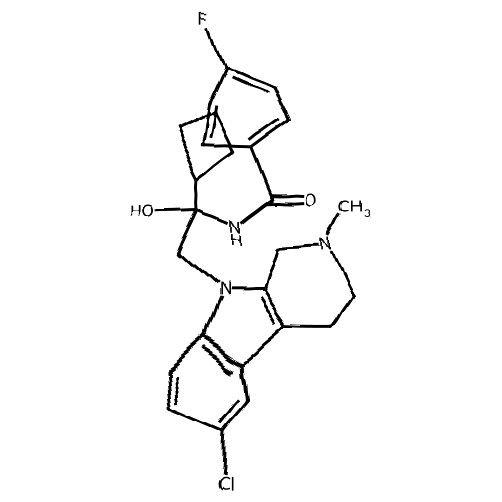 CN1CCc2c(n(CC(O)(NC(=O)c3ccc(F)cc3)C3CCC3)c3ccc(Cl)cc23)C1